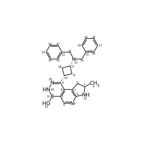 CC1Cc2c(ncc3c2C([C@H]2C[C@@H](N(Cc4ccccc4)Cc4ccccc4)C2)=NNB3O)N1